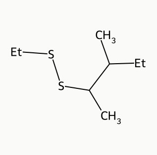 CCSSC(C)C(C)CC